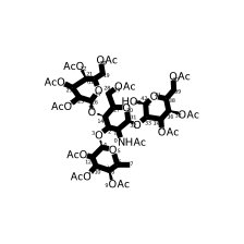 CC(=O)NC1C(O[C@@H]2OC(C)[C@@H](OC(C)=O)C(OC(C)=O)C2OC(C)=O)[C@H](O[C@@H]2OC(COC(C)=O)[C@H](OC(C)=O)C(OC(C)=O)C2OC(C)=O)C(COC(C)=O)O[C@H]1OC1C(OC(C)=O)[C@H](OC(C)=O)C(COC(C)=O)O[C@@H]1O